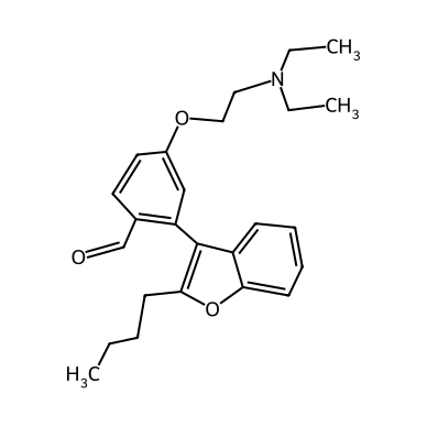 CCCCc1oc2ccccc2c1-c1cc(OCCN(CC)CC)ccc1C=O